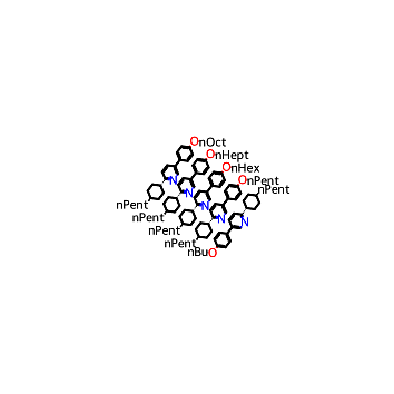 CCCCCCCCOc1ccc(-c2ccc([C@H]3CC[C@H](CCCCC)CC3)nc2)cc1.CCCCCCCOc1ccc(-c2ccc([C@H]3CC[C@H](CCCCC)CC3)nc2)cc1.CCCCCCOc1ccc(-c2ccc([C@H]3CC[C@H](CCCCC)CC3)nc2)cc1.CCCCCOc1ccc(-c2ccc([C@H]3CC[C@H](CCCCC)CC3)nc2)cc1.CCCCC[C@H]1CC[C@H](c2ccc(-c3ccc(OCCCC)cc3)cn2)CC1